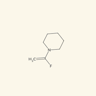 C=C(F)N1CCCCC1